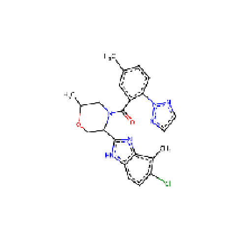 Cc1ccc(-n2nccn2)c(C(=O)N2CC(C)OCC2c2nc3c(C)c(Cl)ccc3[nH]2)c1